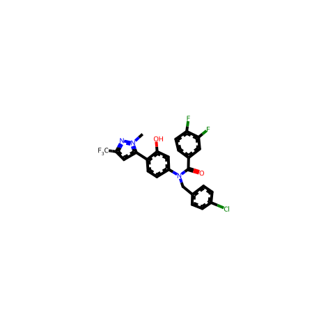 Cn1nc(C(F)(F)F)cc1-c1ccc(N(Cc2ccc(Cl)cc2)C(=O)c2ccc(F)c(F)c2)cc1O